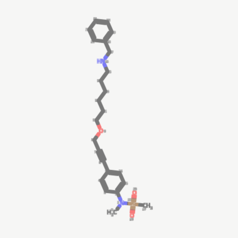 CN(c1ccc(C#CCOCCCCCCNCc2ccccc2)cc1)S(C)(=O)=O